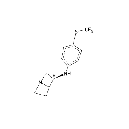 FC(F)(F)Sc1ccc(N[C@@H]2CN3CCC23)cc1